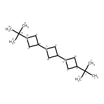 CC(C)(C)C1CN(C2CN(C3CN(C(C)(C)C)C3)C2)C1